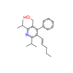 CCCC=Cc1c(C(C)C)nc(C(C)C)c(CO)c1-c1ccccc1